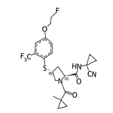 CC1(C(=O)N2C[C@H](Sc3ccc(OCCF)cc3C(F)(F)F)C[C@H]2C(=O)NC2(C#N)CC2)CC1